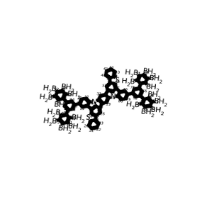 Bc1c(B)c(B)c(-c2cc(-c3ccc4c(c3)c3c5sc6ccccc6c5cc5c6cc7c(cc6n4c53)c3cc4c5ccccc5sc4c4c5cc(-c6cc(-c8c(B)c(B)c(B)c(B)c8B)cc(-c8c(B)c(B)c(B)c(B)c8B)c6)ccc5n7c34)cc(-c3c(B)c(B)c(B)c(B)c3B)c2)c(B)c1B